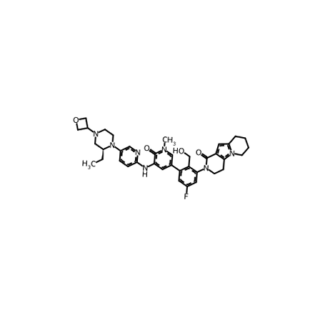 CC[C@H]1CN(C2COC2)CCN1c1ccc(Nc2cc(-c3cc(F)cc(N4CCc5c(cc6n5CCCC6)C4=O)c3CO)cn(C)c2=O)nc1